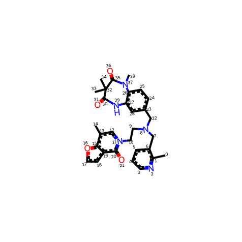 Cc1ncccc1CN(CCn1cc(C)c2occc2c1=O)Cc1ccc2c(c1)NC(=O)C(C)(C)C(=O)N2C